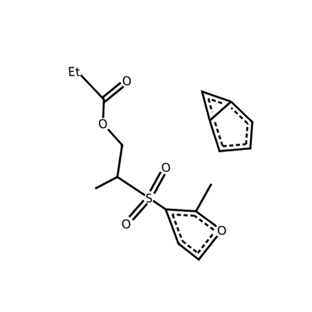 CCC(=O)OCC(C)S(=O)(=O)c1ccoc1C.c1cc2cc-2c1